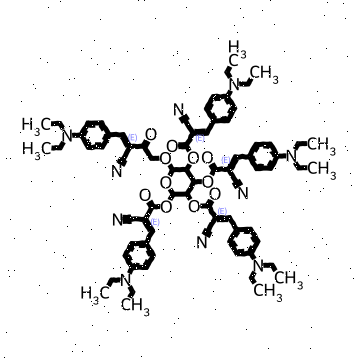 CCN(CC)c1ccc(/C=C(\C#N)C(=O)COC2OC(OC(=O)/C(C#N)=C/c3ccc(N(CC)CC)cc3)C(OC(=O)/C(C#N)=C/c3ccc(N(CC)CC)cc3)C(OC(=O)/C(C#N)=C/c3ccc(N(CC)CC)cc3)C2OC(=O)/C(C#N)=C/c2ccc(N(CC)CC)cc2)cc1